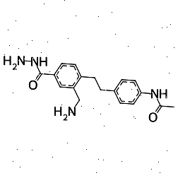 CC(=O)Nc1ccc(CCc2ccc(C(=O)NN)cc2CN)cc1